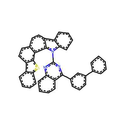 c1ccc(-c2cccc(-c3nc(-n4c5ccccc5c5ccc6ccc7c8ccccc8sc7c6c54)nc4ccccc34)c2)cc1